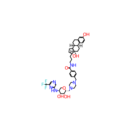 C[C@]12CC[C@@H]3c4ccc(O)cc4CC[C@H]3[C@@H]1CC[C@@]2(O)CCCNC(=O)c1ccc(CN2CCN(C[C@H]3OC[C@H](Nc4cncc(C(F)(F)F)n4)[C@@H](O)[C@H]3O)CC2)cc1